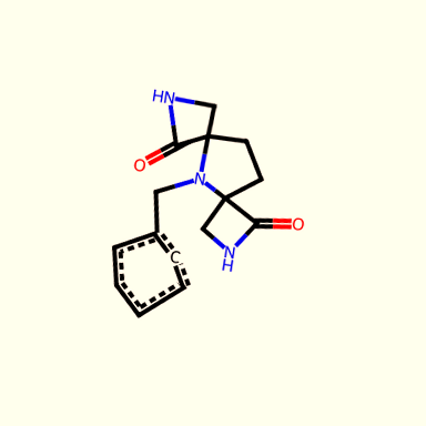 O=C1NCC12CCC1(CNC1=O)N2Cc1ccccc1